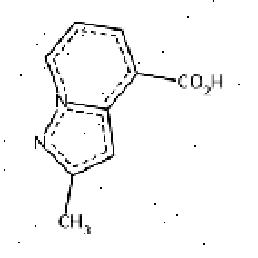 Cc1cc2c(C(=O)O)cccn2n1